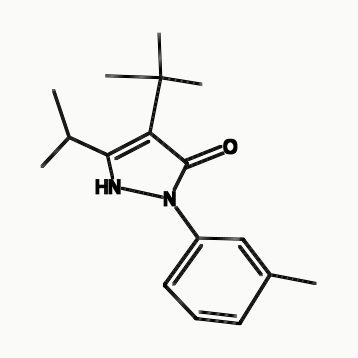 Cc1cccc(-n2[nH]c(C(C)C)c(C(C)(C)C)c2=O)c1